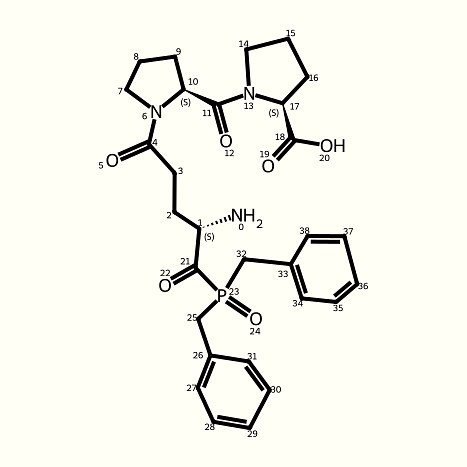 N[C@@H](CCC(=O)N1CCC[C@H]1C(=O)N1CCC[C@H]1C(=O)O)C(=O)P(=O)(Cc1ccccc1)Cc1ccccc1